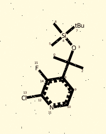 CC(C)(O[Si](C)(C)C(C)(C)C)c1ccnc(Cl)c1F